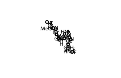 COc1cc2c(Oc3ccc(NC(=O)C4(C(=O)Nc5cc(F)c(F)c(C6CCC(NC7(COc8cc9nccc(Oc%10ccc(NC(=O)C%11(C(=O)Nc%12ccc(F)c(F)c%12)CC%11)cc%10F)c9cc8OC)CC7)C6)c5)CC4)cc3F)ccnc2cc1OCC1(NC2CCCCC2)CC1